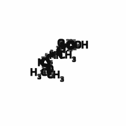 CN[C@H](C/C=C/c1cncc(OC(C)C)c1)COC(=O)c1ccc(O)cc1